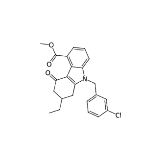 CCC1CC(=O)c2c(n(Cc3cccc(Cl)c3)c3cccc(C(=O)OC)c23)C1